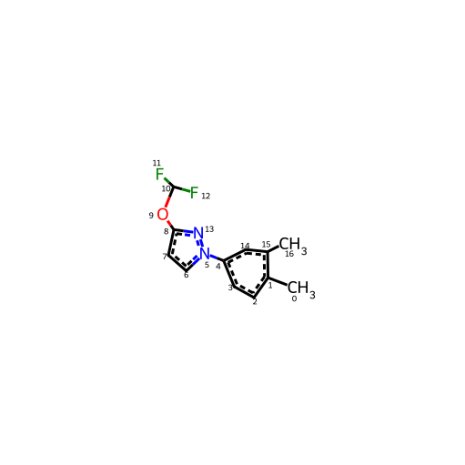 Cc1ccc(-n2ccc(OC(F)F)n2)cc1C